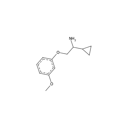 COc1cccc(OCC(N)C2CC2)c1